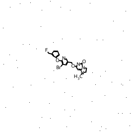 CN1CCn2c1cc(OCc1cnc(Oc3cccc(CF)c3)c(Br)c1)nc2=O